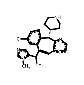 CC(C1=Cc2cccnc2[C@@H](C2CCNCC2)c2ccc(Cl)cc21)c1cncn1C